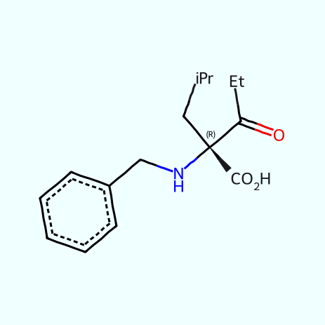 CCC(=O)[C@@](CC(C)C)(NCc1ccccc1)C(=O)O